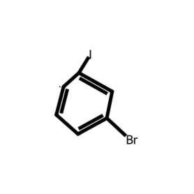 Brc1cc[c]c(I)c1